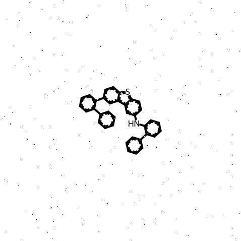 c1ccc(-c2ccccc2Nc2ccc3sc4ccc(-c5ccccc5-c5ccccc5)cc4c3c2)cc1